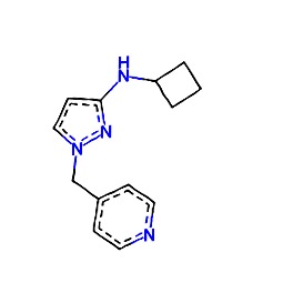 c1cc(Cn2ccc(NC3CCC3)n2)ccn1